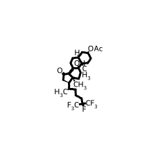 CC(=O)O[C@H]1CC[C@@]2(C)[C@@H](CCC3=C4C(=O)C[C@H]([C@H](C)CCCC(F)(C(F)(F)F)C(F)(F)F)[C@@]4(C)CC[C@@]32O)C1